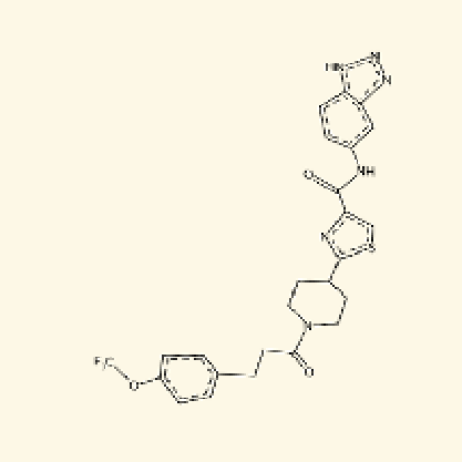 O=C(Nc1ccc2[nH]nnc2c1)c1csc(C2CCN(C(=O)CCc3ccc(OC(F)(F)F)cc3)CC2)n1